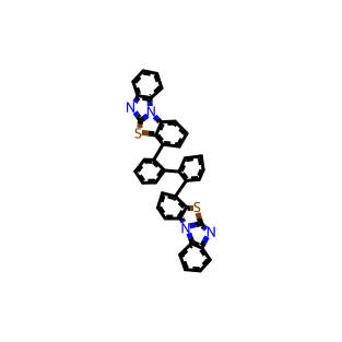 c1ccc(-c2cccc3c2sc2nc4ccccc4n23)c(-c2ccccc2-c2cccc3c2sc2nc4ccccc4n23)c1